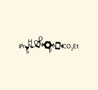 CCOC(=O)N1CCN(c2ccc(N3C[C@H](CNC(=S)C(C)C)OC3=O)cc2F)CC1